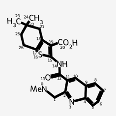 CNCc1nc2ccccc2cc1C(=O)Nc1sc2c(c1C(=O)O)CC(C)(C)CC2